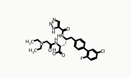 CCN(CC)CC(=O)N[C@H](C[C@@H](Cc1ccc(-c2cc(Cl)ccc2F)cc1)NC(=O)c1cnn[nH]1)C(=O)O